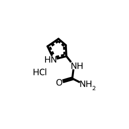 Cl.NC(=O)Nc1ccc[nH]1